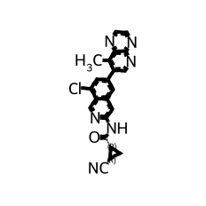 Cc1c(-c2cc(Cl)c3cnc(NC(=O)[C@@H]4C[C@H]4C#N)cc3c2)cnc2nccnc12